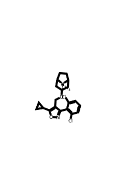 CN1C2CCC1CC(OCc1c(-c3c(Cl)cccc3Cl)noc1C1CC1)C2